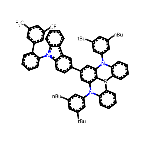 CCCCc1cc(N2c3ccccc3B3c4ccccc4N(c4cc(CCCC)cc(C(C)(C)C)c4)c4cc(-c5ccc6c(c5)c5ccccc5n6-c5ccccc5-c5cc(C(F)(F)F)cc(C(F)(F)F)c5)cc2c43)cc(C(C)(C)C)c1